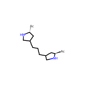 CC(=O)[C@@H]1CC(CCCC2CN[C@H](C(C)=O)C2)CN1